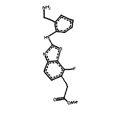 COC(=O)Cc1ccc2nc(Nc3ccccc3CN)oc2c1F